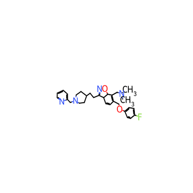 CN(C)CC1=C(COc2ccc(F)cc2)C=CC2C(CCC3CCN(Cc4ccccn4)CC3)=NOC12